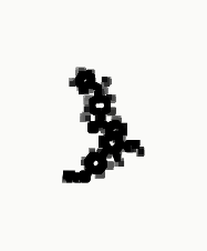 COc1ccc(-c2nc3c(C(=O)N4CCN([C@@H](C)c5nccs5)C[C@H]4C)cnn3c(C(F)(F)F)c2C)cc1